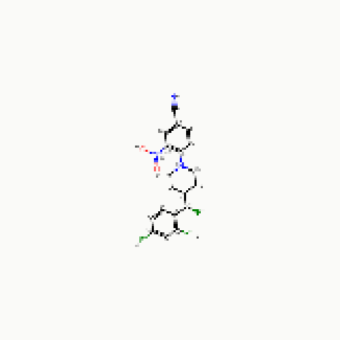 N#Cc1ccc(N2CCC([C@@H](F)c3ccc(F)cc3F)CC2)c([N+](=O)[O-])c1